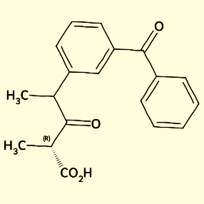 CC(C(=O)[C@@H](C)C(=O)O)c1cccc(C(=O)c2ccccc2)c1